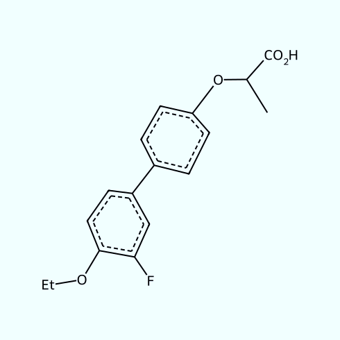 CCOc1ccc(-c2ccc(OC(C)C(=O)O)cc2)cc1F